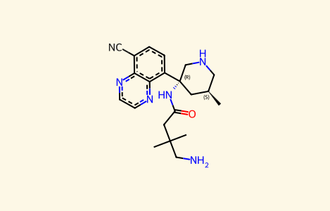 C[C@@H]1CNC[C@](NC(=O)CC(C)(C)CN)(c2ccc(C#N)c3nccnc23)C1